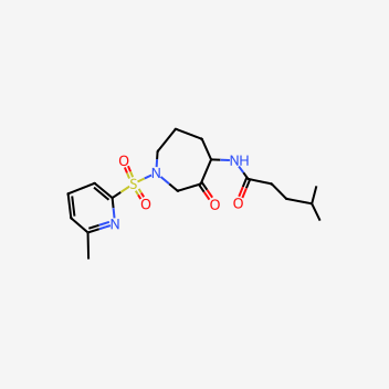 Cc1cccc(S(=O)(=O)N2CCCC(NC(=O)CCC(C)C)C(=O)C2)n1